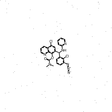 CN(C)C(=O)Oc1c(C(Nc2ccccn2)c2cccc(N=[N+]=[N-])c2Cl)cc(Cl)c2cccnc12